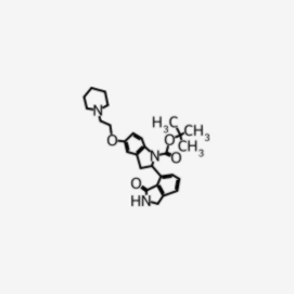 CC(C)(C)OC(=O)N1c2ccc(OCCN3CCCCC3)cc2CC1c1cccc2c1C(=O)NC2